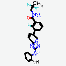 CC(F)(F)CNC(=O)c1cccc(-c2ccc3nc(Nc4ccccc4C#N)nn3c2)c1F